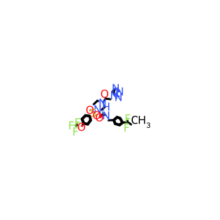 CCC(F)(F)c1ccc(CNC(=O)[C@H]2CN(C(=O)Cn3cnnn3)CCN2S(=O)(=O)c2ccc(OC(F)(F)F)cc2)cc1